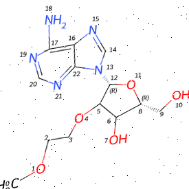 COCCOC1C(O)[C@@H](CO)O[C@H]1n1cnc2c(N)ncnc21